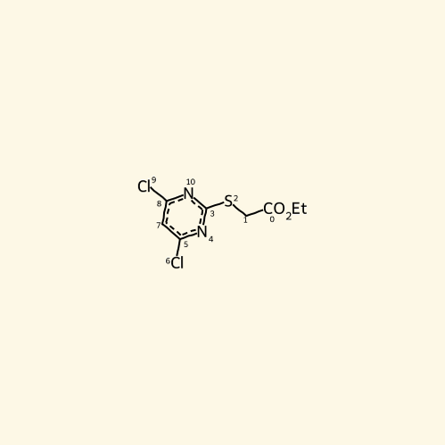 CCOC(=O)CSc1nc(Cl)cc(Cl)n1